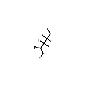 F[CH]C(F)C(F)(F)C(F)(F)CF